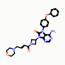 Nc1ncnc2c1n(-c1ccc(Oc3ccccc3)cc1)c(=O)n2C1CN(C(=O)C=CCN2CCOCC2)C1